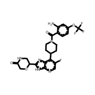 Nc1cc(OC(F)(F)F)ccc1C(=O)N1CCC(c2c(F)cnc3[nH]c(C4CNC(=O)CO4)nc23)CC1